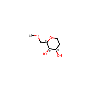 CCOC[C@H]1OCC[C@@H](O)[C@H]1O